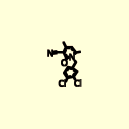 Cc1cc(C)n(Cc2ccc(Cl)c(Cl)c2)c(=O)c1C#N